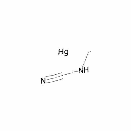 [CH2]NC#N.[Hg]